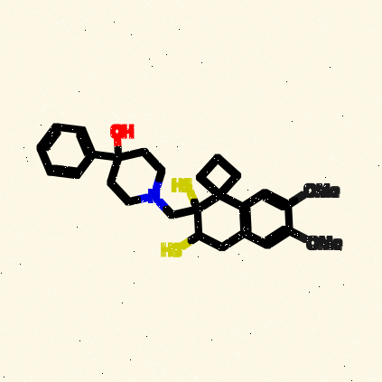 COc1cc2c(cc1OC)C1(CCC1)C(S)(CN1CCC(O)(c3ccccc3)CC1)C(S)C2